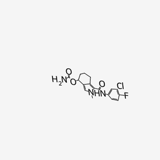 Cn1cc2c(c1C(=O)Nc1ccc(F)c(Cl)c1)CCCC2OC(N)=O